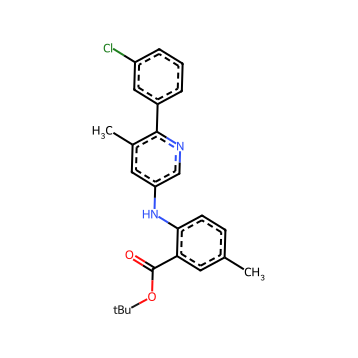 Cc1ccc(Nc2cnc(-c3cccc(Cl)c3)c(C)c2)c(C(=O)OC(C)(C)C)c1